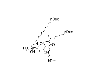 CCCCCCCCCCCCCCCC(=O)C(CN(C)CCO)C(=O)CCCCCCCCCCCCCCC.CCCCCCCCCCCCCCCCCCCCCC[N+](C)(C)C